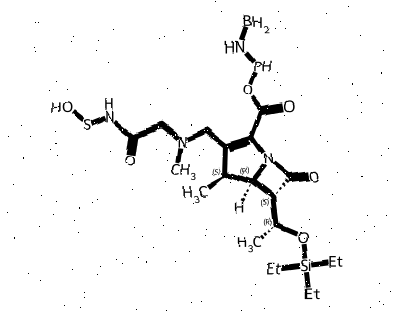 BNPOC(=O)C1=C(CN(C)CC(=O)NSO)[C@H](C)[C@@H]2[C@@H]([C@@H](C)O[Si](CC)(CC)CC)C(=O)N12